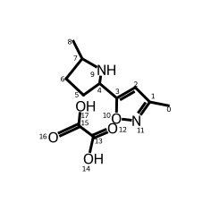 Cc1cc(C2CCC(C)N2)on1.O=C(O)C(=O)O